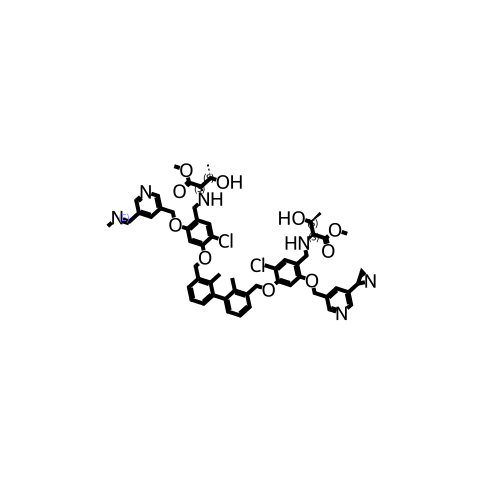 C/N=C/c1cncc(COc2cc(OCc3cccc(-c4cccc(COc5cc(OCc6cncc(C7C=N7)c6)c(CN[C@H](C(=O)OC)[C@H](C)O)cc5Cl)c4C)c3C)c(Cl)cc2CN[C@H](C(=O)OC)[C@H](C)O)c1